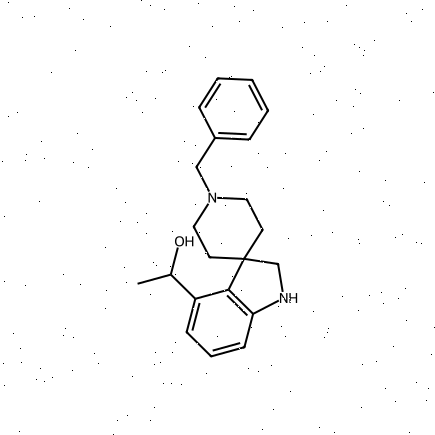 CC(O)c1cccc2c1C1(CCN(Cc3ccccc3)CC1)CN2